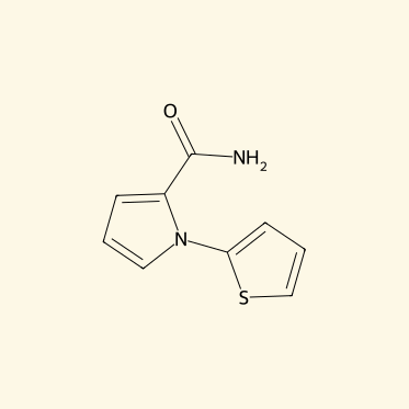 NC(=O)c1cccn1-c1cccs1